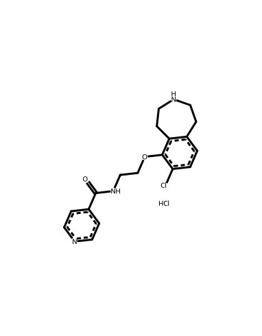 Cl.O=C(NCCOc1c(Cl)ccc2c1CCNCC2)c1ccncc1